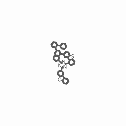 c1ccc(-c2nc(-c3ccc4oc5ccccc5c4c3)nc(-c3cccc4sc5ccc(-c6cccc(-c7ccccc7-c7ccccc7)c6)cc5c34)n2)cc1